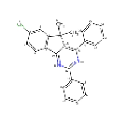 CC1(C)c2cc(Cl)ccc2-c2nc(-c3ccccc3)nc(-c3ccccc3)c21